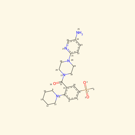 CS(=O)(=O)c1ccc(N2CCCCC2)c(C(=O)N2CCN(c3ccc(N)cn3)CC2)c1